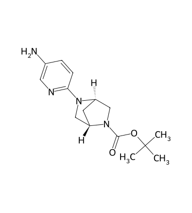 CC(C)(C)OC(=O)N1C[C@H]2C[C@H]1CN2c1ccc(N)cn1